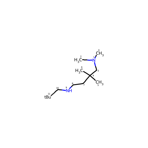 CN(C)CC(C)(C)CCNCC(C)(C)C